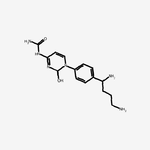 NCCCC(N)c1ccc(N2C=CC(NC(N)=O)=NC2O)cc1